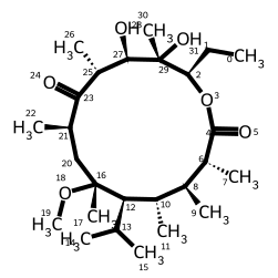 CC[C@H]1OC(=O)[C@H](C)[C@@H](C)[C@H](C)[C@@H](C(C)C)[C@](C)(OC)C[C@@H](C)C(=O)[C@H](C)[C@@H](O)[C@]1(C)O